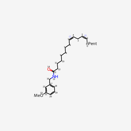 CCCCC/C=C\C/C=C\CCCCCCCC(=O)NCc1cccc(OC)c1